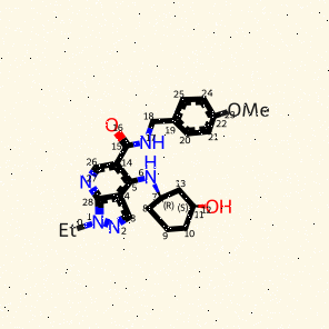 CCn1ncc2c(N[C@@H]3CCC[C@H](O)C3)c(C(=O)NCc3ccc(OC)cc3)cnc21